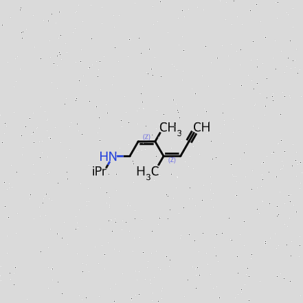 C#C/C=C(C)\C(C)=C/CNC(C)C